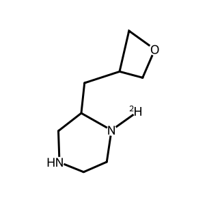 [2H]N1CCNCC1CC1COC1